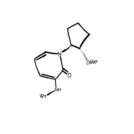 CO[C@H]1CCC[C@@H]1n1cccc(NC(C)C)c1=O